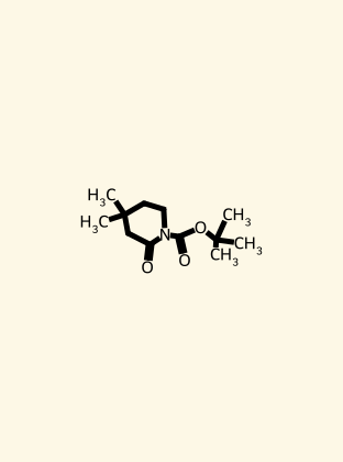 CC1(C)CCN(C(=O)OC(C)(C)C)C(=O)C1